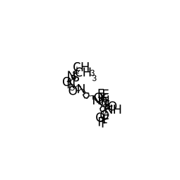 CC(C)Cc1nc(C(=O)N2CCOC3(CCN(Cc4cccc(CCNC[C@H](OC(=O)C(F)(F)F)c5ccc(OC(=O)C(F)(F)F)c6[nH]c(=O)sc56)c4)CC3)C2)cs1